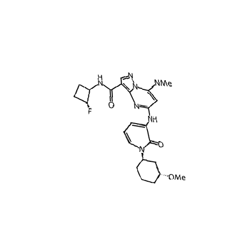 CNc1cc(Nc2cccn([C@@H]3CCC[C@@H](OC)C3)c2=O)nc2c(C(=O)NC3CC[C@@H]3F)cnn12